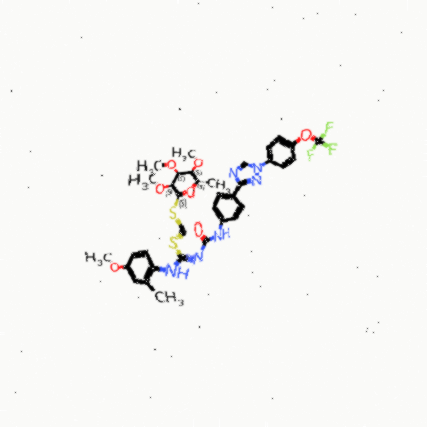 COc1ccc(N/C(=N/C(=O)Nc2ccc(-c3ncn(-c4ccc(OC(F)(F)F)cc4)n3)cc2)SCS[C@@H]2O[C@@H](C)[C@H](OC)[C@H](OC)[C@@H]2OC)c(C)c1